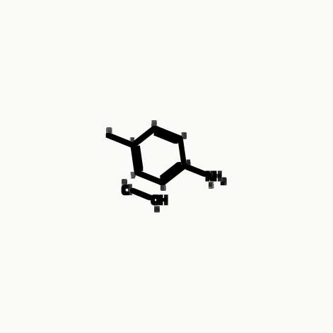 Cc1ccc(N)cc1.OCl